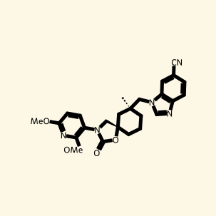 COc1ccc(N2C[C@@]3(CCC[C@](C)(Cn4cnc5ccc(C#N)cc54)C3)OC2=O)c(OC)n1